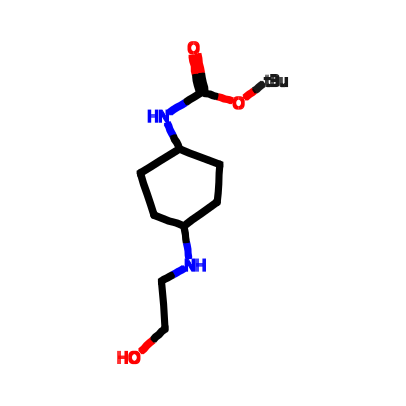 CC(C)(C)OC(=O)NC1CCC(NCCO)CC1